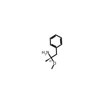 CO[C@](C)(N)Cc1ccccc1